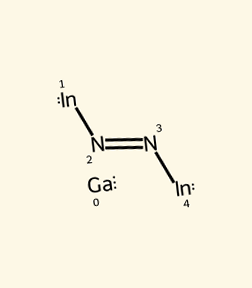 [Ga].[In][N]=[N][In]